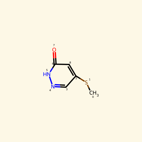 CSc1cn[nH]c(=O)c1